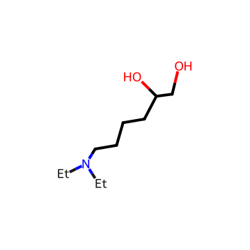 CCN(CC)CCCCC(O)CO